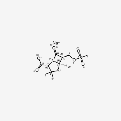 CC1(C)S[C@@H]2[C@H](COS(C)(=O)=O)C(=O)N2[C@H]1C(=O)[O-].[Na+]